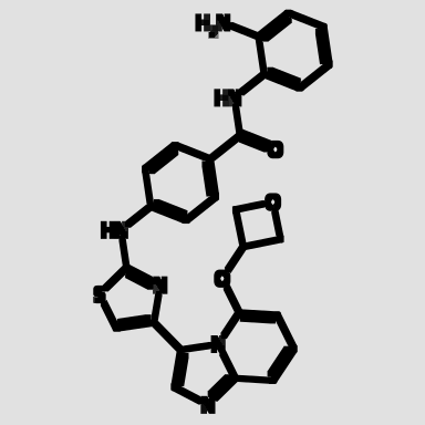 Nc1ccccc1NC(=O)c1ccc(Nc2nc(-c3cnc4cccc(OC5COC5)n34)cs2)cc1